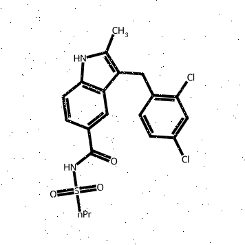 CCCS(=O)(=O)NC(=O)c1ccc2[nH]c(C)c(Cc3ccc(Cl)cc3Cl)c2c1